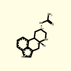 NC(=O)N[C@@H]1CN[C@@H]2Cc3c[nH]c4cccc(c34)C2C1